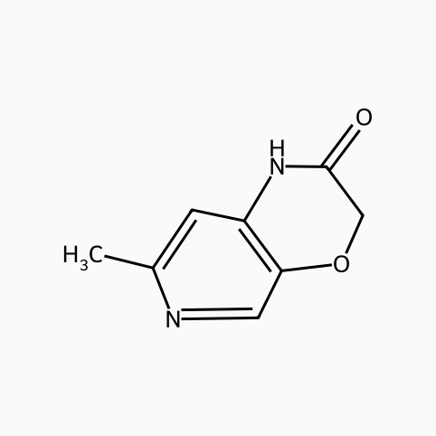 Cc1cc2c(cn1)OCC(=O)N2